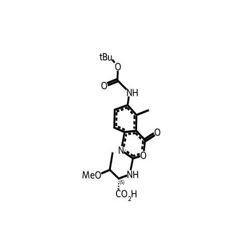 COC(C)[C@H](Nc1nc2ccc(NC(=O)OC(C)(C)C)c(C)c2c(=O)o1)C(=O)O